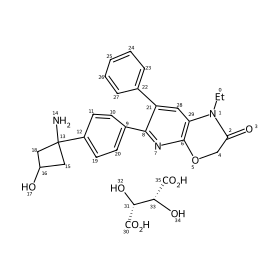 CCN1C(=O)COc2nc(-c3ccc(C4(N)CC(O)C4)cc3)c(-c3ccccc3)cc21.O=C(O)[C@H](O)[C@@H](O)C(=O)O